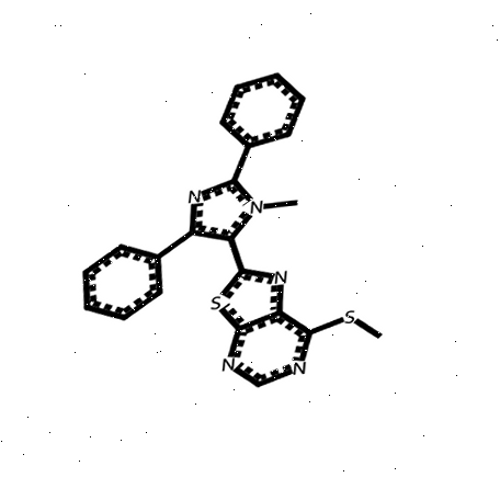 CSc1ncnc2sc(-c3c(-c4ccccc4)nc(-c4ccccc4)n3C)nc12